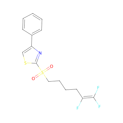 O=S(=O)(CCCCC(F)=C(F)F)c1nc(-c2ccccc2)cs1